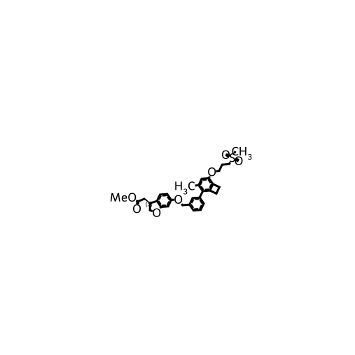 COC(=O)C[C@@H]1COc2cc(OCc3cccc(-c4c(C)cc(OCCCS(C)(=O)=O)c5c4CC5)c3)ccc21